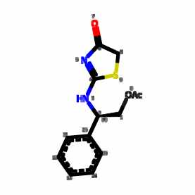 CC(=O)OC[C@H](NC1=NC(=O)CS1)c1ccccc1